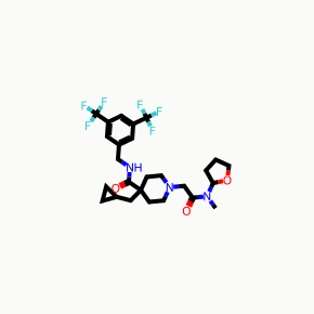 CN(C(=O)CN1CCC(CC2CC2)(C(=O)NCc2cc(C(F)(F)F)cc(C(F)(F)F)c2)CC1)C1CCCO1